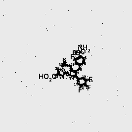 NS(=O)(=O)c1ccc(Cc2c(-c3cc(F)c(F)c(F)c3)nn(-c3nc(C(=O)O)cs3)c2CC2CC2)cc1F